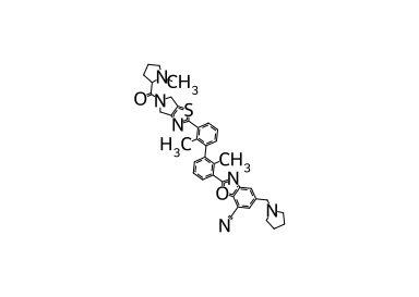 Cc1c(-c2nc3cc(CN4CCCC4)cc(C#N)c3o2)cccc1-c1cccc(-c2nc3c(s2)CN(C(=O)C2CCCN2C)C3)c1C